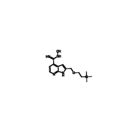 C[Si](C)(C)CCOCc1cc2c(C(=N)NO)ccnc2[nH]1